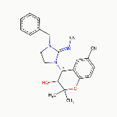 CC1(C)Oc2ccc(C#N)cc2[C@@H](N2CCN(Cc3ccccc3)C2=NC#N)C1O